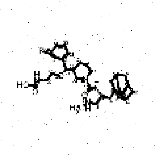 CNCC(CC12CC3CC(CC(C3)C1)C2)NC(=O)N1CCCC(C(OCCNC(=O)O)c2cccc(F)c2)C1